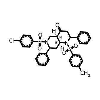 Cc1ccc(S(=O)(=O)N2C(c3ccccc3)CC(=O)[C@@H]3CN(S(=O)(=O)c4ccc(Cl)cc4)C(c4ccccc4)C[C@@H]32)cc1